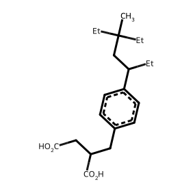 CCC(CC(C)(CC)CC)c1ccc(CC(CC(=O)O)C(=O)O)cc1